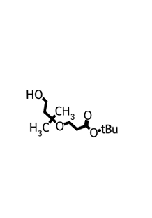 CC(C)(C)OC(=O)CCOC(C)(C)CCO